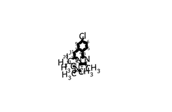 Cc1nc2c3ccc(Cl)cc3cc(C)n2c1[N+](C)(C)C.[I-]